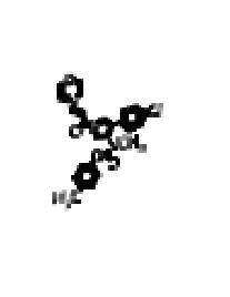 Cc1ccc(OC(=O)N(C)[C@@H]2CN(C(=O)CCN3CCOCC3)C[C@H]2c2ccc(Cl)cc2)cc1